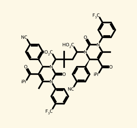 CC1=C(C(=O)C(C)C)[C@@H](c2ccc(C#N)cc2)N(C(CC(C)(C)C(C(=O)O)N2C(=O)N(c3cccc(C(F)(F)F)c3)C(C)=C(C(=O)C(C)C)[C@H]2c2ccc(C#N)cc2)C(=O)O)C(=O)N1c1cccc(C(F)(F)F)c1